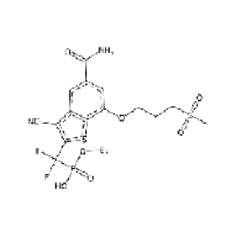 CCOP(=O)(O)C(F)(F)c1sc2c(OCCCS(C)(=O)=O)cc(C(N)=O)cc2c1C#N